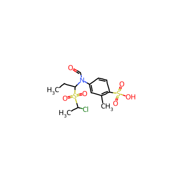 CCC(N(C=O)c1ccc(S(=O)(=O)O)c(C)c1)S(=O)(=O)C(C)Cl